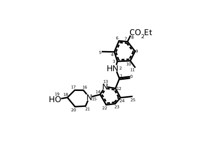 C=C(Nc1c(C)cc(C(=O)OCC)cc1C)c1nc(N2CCC(O)CC2)ccc1C